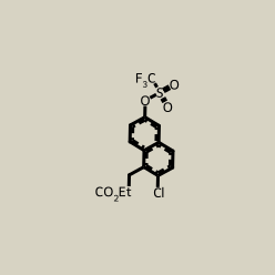 CCOC(=O)Cc1c(Cl)ccc2cc(OS(=O)(=O)C(F)(F)F)ccc12